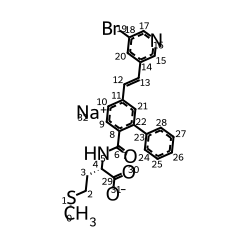 CSCC[C@H](NC(=O)c1ccc(C=Cc2cncc(Br)c2)cc1-c1ccccc1)C(=O)[O-].[Na+]